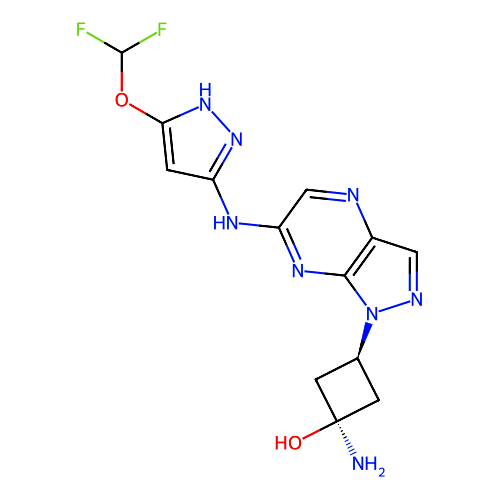 N[C@]1(O)C[C@@H](n2ncc3ncc(Nc4cc(OC(F)F)[nH]n4)nc32)C1